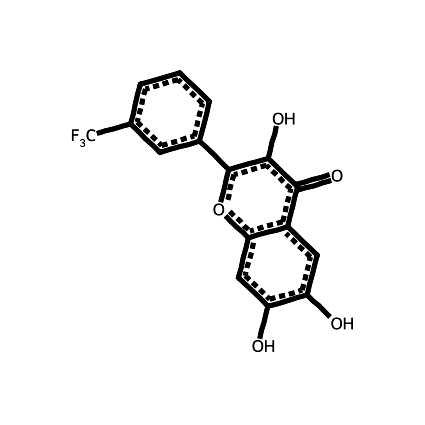 O=c1c(O)c(-c2cccc(C(F)(F)F)c2)oc2cc(O)c(O)cc12